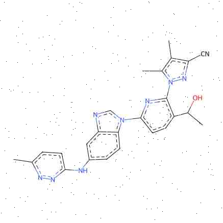 Cc1ccc(Nc2ccc3c(c2)ncn3-c2ccc(C(C)O)c(-n3nc(C#N)c(C)c3C)n2)nn1